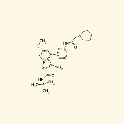 CSc1nc(-c2cccc(NC(=O)CN3CCSCC3)c2)c2c(N)c(C(=O)NC(C)(C)C)sc2n1